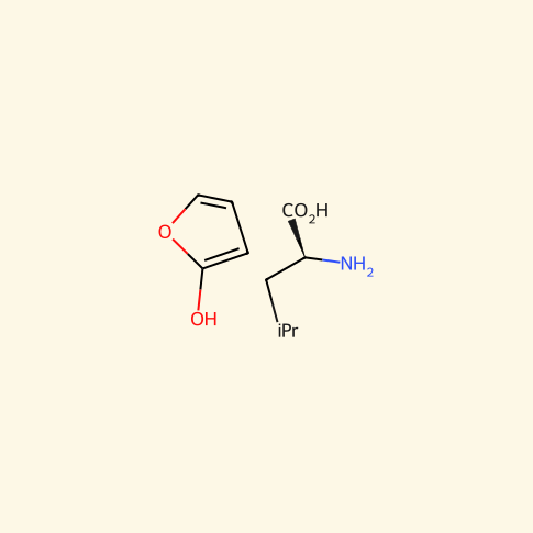 CC(C)C[C@H](N)C(=O)O.Oc1ccco1